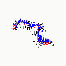 CC(=O)Nc1cn(C)c(C(=O)Nc2cn(C)c(C(=O)Nc3cn(C)c(C(=O)NCCC(=O)Nc4cn(C)c(C(=O)Nc5cc(C(=O)Nc6cc(C(=O)NCCCC(=O)Nc7cn(C)c(C(=O)Nc8cn(C)c(C(=O)Nc9cc(C(=O)NCCC(=O)Nc%10cc(C(=O)Nc%11ccc%12[nH]c(C(O)N%13CC(CCl)c%14c%13cc(O)c%13ccccc%14%13)cc%12c%11)n(C)c%10)n(C)c9)n8)n7)n(C)c6)n(C)c5)n4)n3)n2)n1